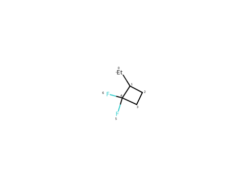 C[CH]C1CCC1(F)F